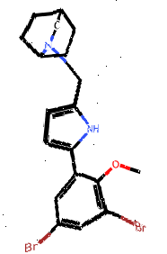 COc1c(Br)cc(Br)cc1-c1ccc(CN2CC3CCC2CC3)[nH]1